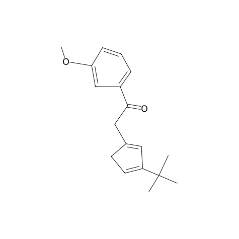 COc1cccc(C(=O)CC2=CC(C(C)(C)C)=CC2)c1